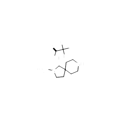 CCOC(=O)N1CCC2(CCNCC2)C1.O=C(O)C(F)(F)F